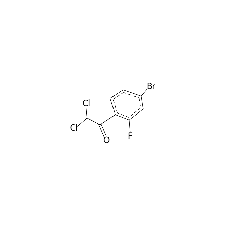 O=C(c1ccc(Br)cc1F)C(Cl)Cl